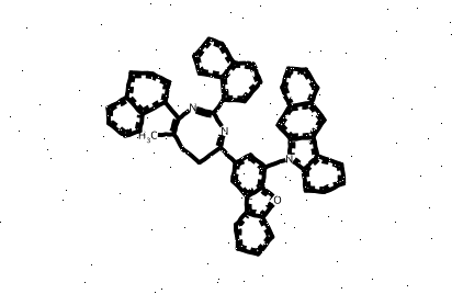 C/C1=C(c2cccc3ccccc23)/N=C(c2cccc3ccccc23)\N=C(\c2cc(-n3c4ccccc4c4cc5ccccc5cc43)c3oc4ccccc4c3c2)CC1